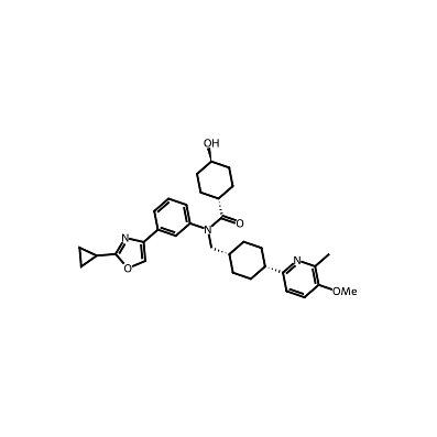 COc1ccc([C@H]2CC[C@@H](CN(c3cccc(-c4coc(C5CC5)n4)c3)C(=O)[C@H]3CC[C@H](O)CC3)CC2)nc1C